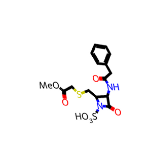 COC(=O)CSCC1C(NC(=O)Cc2ccccc2)C(=O)N1S(=O)(=O)O